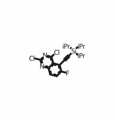 CC(C)[Si](C#Cc1c(F)ccc2nc(Cl)nc(Cl)c12)(C(C)C)C(C)C